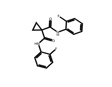 O=C(Nc1ccccc1F)C1(C(=O)Nc2ccccc2F)CC1